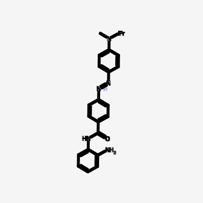 CC(C)N(C)c1ccc(/N=N/c2ccc(C(=O)Nc3ccccc3N)cc2)cc1